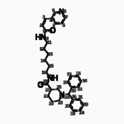 O=C(/C=C\c1cccnc1)NCCCCCCNC(=O)C1CCCN(C(c2ccccc2)c2ccccc2)C1